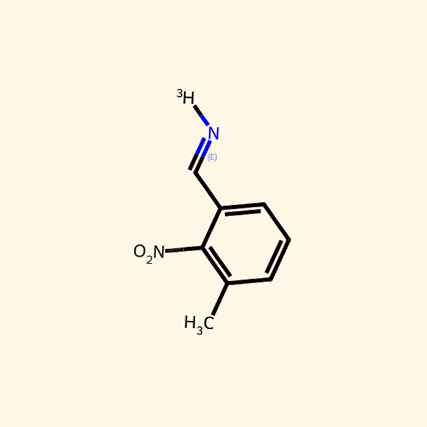 [3H]/N=C/c1cccc(C)c1[N+](=O)[O-]